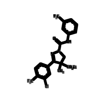 CCOC(=O)C1(C)CN(C(=O)Nc2cccc(C(F)(F)F)c2)N=C1c1ccc(C(F)(F)F)c(Cl)c1